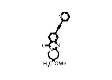 COC1(C)CCc2nc3cc(C#Cc4ccccn4)ccc3c(=O)n2CC1